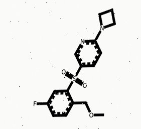 CO[CH]c1ccc(F)cc1S(=O)(=O)c1ccc(N2CCC2)nc1